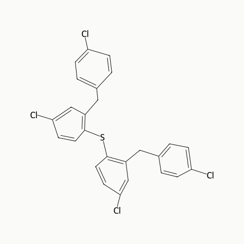 Clc1ccc(Cc2cc(Cl)ccc2Sc2ccc(Cl)cc2Cc2ccc(Cl)cc2)cc1